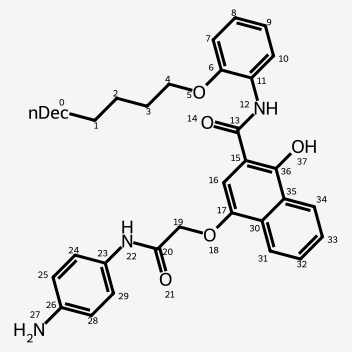 CCCCCCCCCCCCCCOc1ccccc1NC(=O)c1cc(OCC(=O)Nc2ccc(N)cc2)c2ccccc2c1O